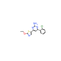 CCOc1ncc(-c2cc(-c3ccccc3Cl)nc(N)n2)s1